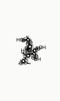 C=CCc1cc(BC)ccc1C(C)(C)c1ccc(Bc2cc(S(=O)(=O)O)cc3cc(SOO)cc(Bc4ccc(S(=O)(=O)c5ccc(C)c(SOO)c5)cc4S(=O)(=O)O)c23)cc1CC=C